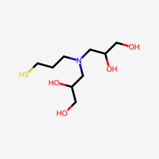 OCC(O)CN(CCCS)CC(O)CO